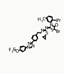 Cc1ccc(C(C)C)c(N2C(=O)C(Br)S/C2=N\C(=N\CCc2ccc(-c3ncn(-c4ccc(OC(F)(F)F)cc4)n3)cc2)SC2CC2)c1